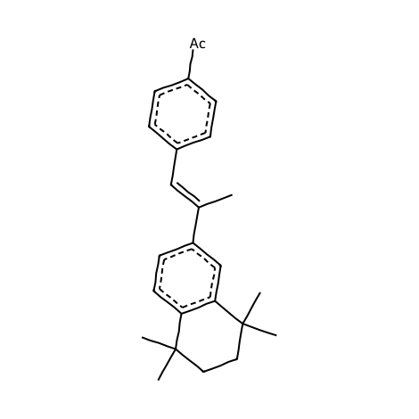 CC(=O)c1ccc(C=C(C)c2ccc3c(c2)C(C)(C)CCC3(C)C)cc1